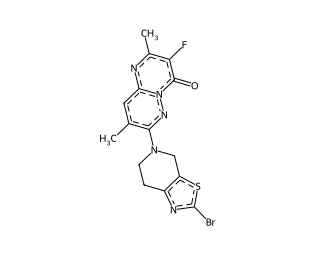 Cc1cc2nc(C)c(F)c(=O)n2nc1N1CCc2nc(Br)sc2C1